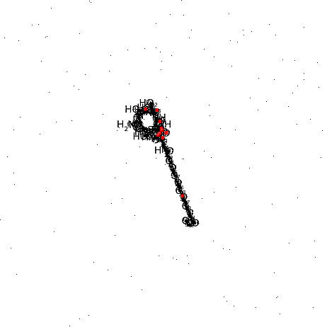 CC[C@H](C)[C@@H]1NC(=O)CNC(=O)[C@@H]2Cc3c([nH]c4c(CSCCCCNC(=O)CCOCCOCCOCCOCCOCCOCCOCCOCCN5C(=O)C=CC5=O)c(OC)ccc34)[S+]([O-])C[C@H](NC(O)CNC1=O)C(=O)N[C@@H](CC(N)=O)C(=O)N1C[C@H](O)C[C@H]1C(=O)N[C@@H]([C@@H](C)[C@@H](O)CO)C(=O)N2